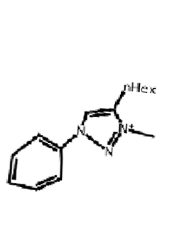 CCCCCCc1cn(-c2ccccc2)n[n+]1C